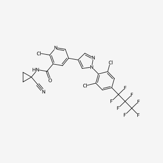 N#CC1(NC(=O)c2cc(-c3cnn(-c4c(Cl)cc(C(F)(F)C(F)(F)C(F)(F)F)cc4Cl)c3)cnc2Cl)CC1